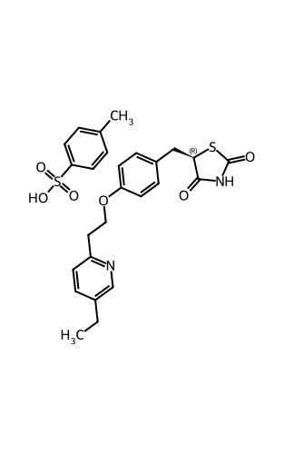 CCc1ccc(CCOc2ccc(C[C@H]3SC(=O)NC3=O)cc2)nc1.Cc1ccc(S(=O)(=O)O)cc1